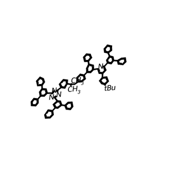 CC(C)(C)c1ccc(-c2cc(-c3cc(-c4ccccc4)cc(-c4ccccc4)c3)nc(-c3cc(-c4ccccc4)cc(-c4ccc(CC(C)(C)c5cccc(-c6nc(-c7cc(-c8ccccc8)cc(-c8ccccc8)c7)nc(-c7cc(-c8ccccc8)cc(-c8ccccc8)c7)n6)c5)cc4)c3)c2)cc1